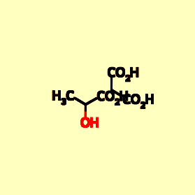 CC(O)C(=O)O.O=C(O)CC(=O)O